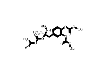 CCC(C)N[C@@](Cc1ccc(OC(=O)OC(C)(C)C)c(OC(=O)OC(C)(C)C)c1)(OC(=O)OC(C)C(C)C)C(=O)O